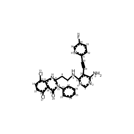 Nc1ncnc(NCCc2nc3c(Cl)ccc(Cl)c3c(=O)n2-c2ccccc2)c1C#Cc1ccc(F)cn1